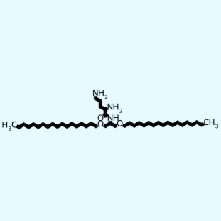 CCCCCCCCCCCCCCCCCCOCC(COCCCCCCCCCCCCCCCCCC)NC(=O)C(N)CCCN